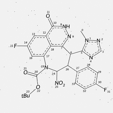 Cn1ncnc1C1c2n[nH]c(=O)c3cc(F)cc(c23)N(C(=O)OC(C)(C)C)C([N+](=O)[O-])C1c1ccc(F)cc1